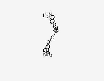 Nc1ccc2cc(OCCOCCn3cc(COc4ccc5nc(N)ccc5c4)nn3)ccc2n1